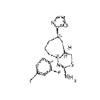 NC1=N[C@@]2(c3ccc(I)cc3F)CCC[C@@H](c3ncco3)C[C@H]2CS1